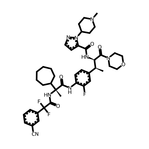 C[C@@H](c1ccc(NC(=O)[C@](C)(NC(=O)C(F)(F)c2cccc(C#N)c2)C2CCCCCC2)c(F)c1)[C@@H](NC(=O)c1ccnn1C1CCN(C)CC1)C(=O)N1CCOCC1